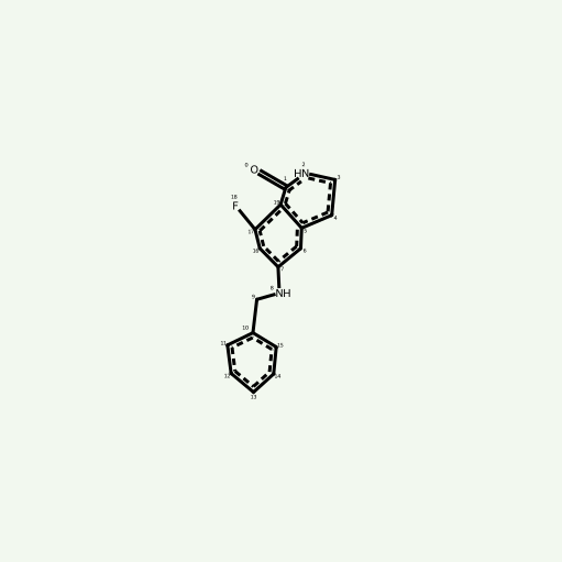 O=c1[nH]ccc2cc(NCc3ccccc3)cc(F)c12